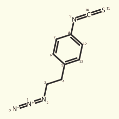 [N-]=[N+]=NCCc1ccc(N=C=S)cc1